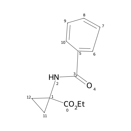 CCOC(=O)C1(NC(=O)c2ccccc2)CC1